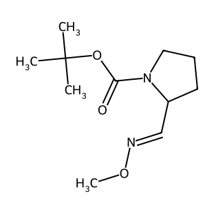 CON=CC1CCCN1C(=O)OC(C)(C)C